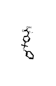 C[C@@H](C(=O)O)c1ccc(C(C)(C)Sc2ccccc2)cc1